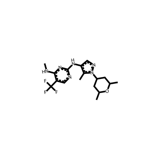 CNc1nc(Nc2cnn(C3CC(C)OC(C)C3)c2C)ncc1C(F)(F)F